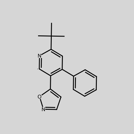 CC(C)(C)c1cc(-c2ccccc2)c(-c2ccno2)[c]n1